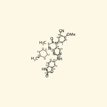 COc1ccc(N2C(=O)[C@@H](C)N([C@H]3CC[C@H](C)CC3)c3nc(Nc4ccc5[nH]c(=O)oc5c4)ncc32)cc1C#N